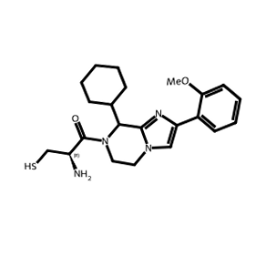 COc1ccccc1-c1cn2c(n1)C(C1CCCCC1)N(C(=O)[C@@H](N)CS)CC2